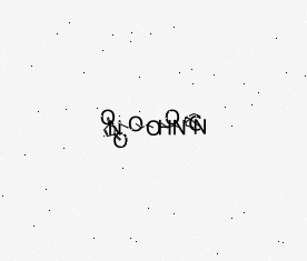 O=C(CCOCCOCCN1C(=O)C=CC1=O)NC1CN2CCC1CC2